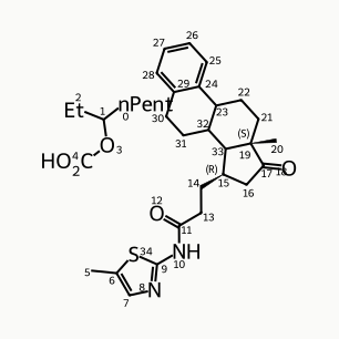 CCCCCC(CC)OC(=O)O.Cc1cnc(NC(=O)CC[C@@H]2CC(=O)[C@@]3(C)CCC4c5ccccc5CCC4C23)s1